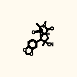 CN1C(=O)[C@]23C[C@@](C)(C#N)C(c4ccc5c(c4)OCO5)N2C(=O)C1(C)SS3